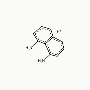 F.Nc1cccc2cccc(N)c12